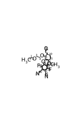 CCOCCOC1C(=C=O)C=CC(OC)=C1Oc1c(F)c(F)c(C#N)c(C#N)c1F